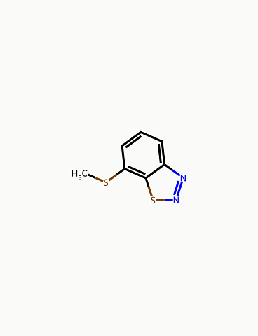 CSc1cccc2nnsc12